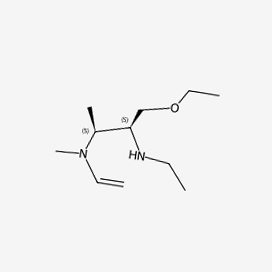 C=CN(C)[C@@H](C)[C@@H](COCC)NCC